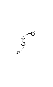 O=C(NC[C@H]1CCN1C(=O)O)c1ccc(-c2cnn(NCCc3cccc(F)c3)c2)nc1